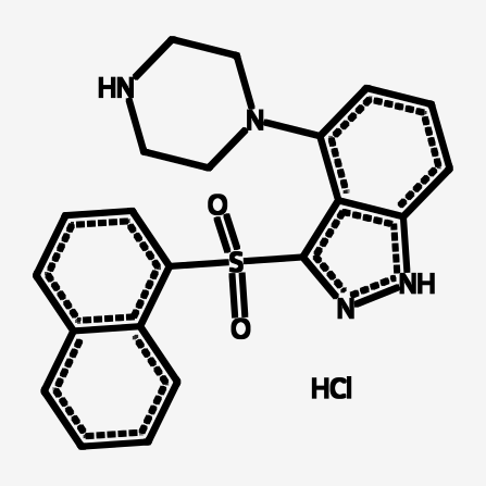 Cl.O=S(=O)(c1cccc2ccccc12)c1n[nH]c2cccc(N3CCNCC3)c12